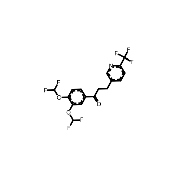 O=C(CCc1ccc(C(F)(F)F)nc1)c1ccc(OC(F)F)c(OC(F)F)c1